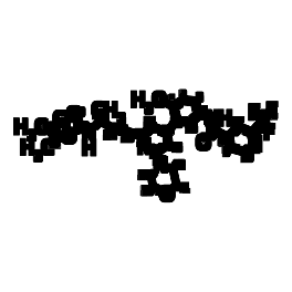 Cc1ccc(NC(=O)c2ccnc(C(F)(F)F)c2)cc1-c1cc(C#C[C@H](C)NC(=O)OC(C)(C)C)nc(N2CCOCC2)c1